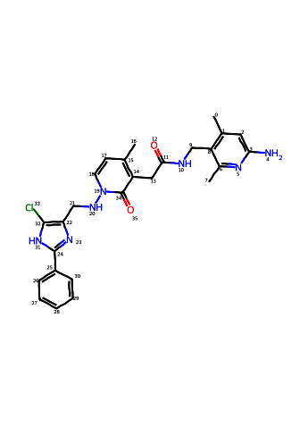 Cc1cc(N)nc(C)c1CNC(=O)Cc1c(C)ccn(NCc2nc(-c3ccccc3)[nH]c2Cl)c1=O